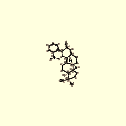 C#C[C@]1(C(C)=O)CC[C@H]2[C@@H]3CCC4=CC(=O)C(c5ccccc5N(C)C)CC4=C3CC[C@@]21C